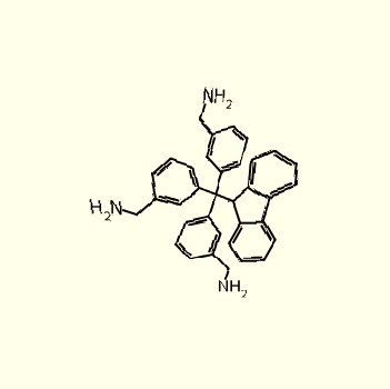 NCc1cccc(C([C]2c3ccccc3-c3ccccc32)(c2cccc(CN)c2)c2cccc(CN)c2)c1